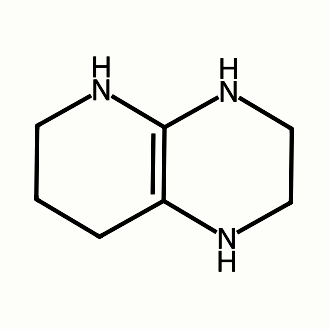 C1CNC2=C(C1)NCCN2